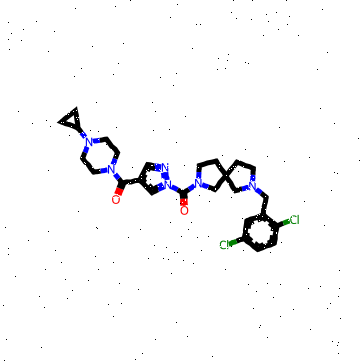 O=C(c1cnn(C(=O)N2CCC3(CCN(Cc4cc(Cl)ccc4Cl)C3)C2)c1)N1CCN(C2CC2)CC1